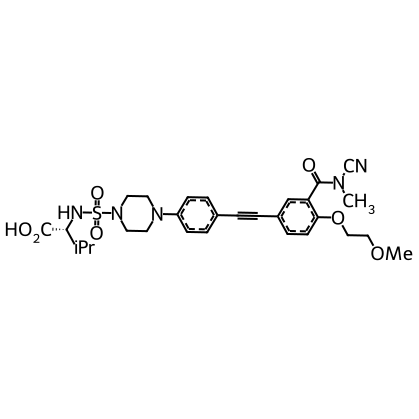 COCCOc1ccc(C#Cc2ccc(N3CCN(S(=O)(=O)N[C@@H](C(=O)O)C(C)C)CC3)cc2)cc1C(=O)N(C)C#N